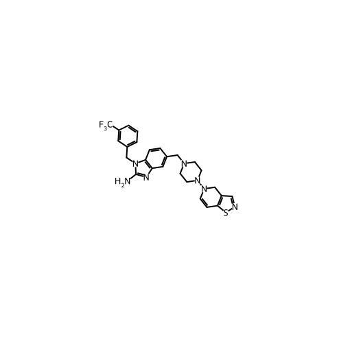 Nc1nc2cc(CN3CCN(N4C=Cc5sncc5C4)CC3)ccc2n1Cc1cccc(C(F)(F)F)c1